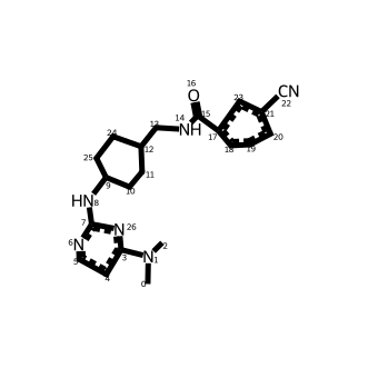 CN(C)c1ccnc(NC2CCC(CNC(=O)c3cccc(C#N)c3)CC2)n1